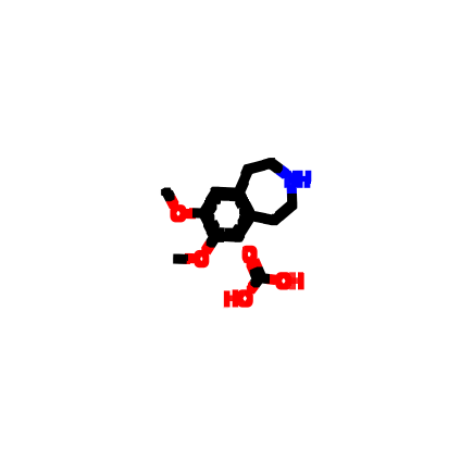 COc1cc2c(cc1OC)CCNCC2.O=C(O)O